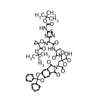 CC(C)(C)OC(=O)Nc1nc(C(=NOC2(C(=O)OC(C)(C)C)CC2)C(=O)N[C@H]2CON(C3(C(=O)O)C[C@H](N4C(=O)c5cc6c(cc5C4=O)OC(c4ccccc4)(c4ccccc4)O6)C(=O)O3)C2=O)ns1